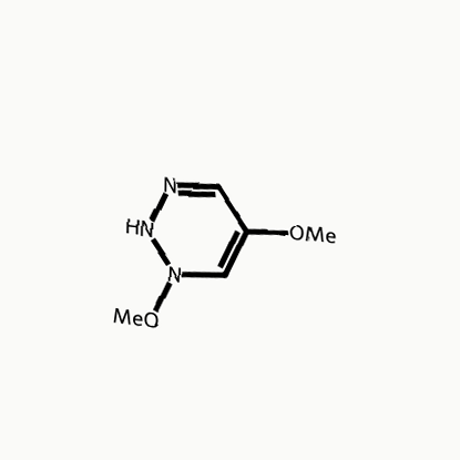 COC1=CN(OC)NN=C1